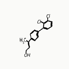 CC(=CCO)c1ccc(-c2cccc(Cl)c2Cl)cc1